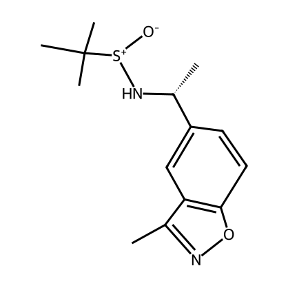 Cc1noc2ccc([C@@H](C)N[S+]([O-])C(C)(C)C)cc12